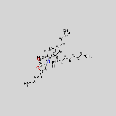 CCC=CC1CC(N(BC(CCCCCCC)CCCCCCC)C(C)(C)CC)C(=O)O1